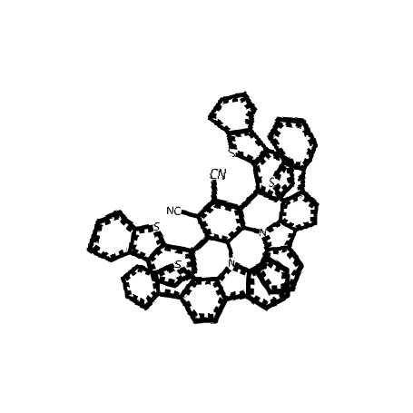 N#Cc1c(C#N)c(-c2cccc3c2sc2ccccc23)c(-n2c3ccccc3c3ccc4c5ccccc5sc4c32)c(-n2c3ccccc3c3ccc4c5ccccc5sc4c32)c1-c1cccc2c1sc1ccccc12